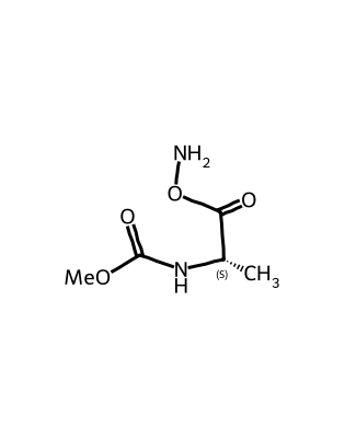 COC(=O)N[C@@H](C)C(=O)ON